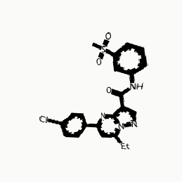 CCc1cc(-c2ccc(Cl)cc2)nc2c(C(=O)Nc3cccc(S(C)(=O)=O)c3)cnn12